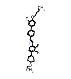 C=CCCOc1ccc(-c2ccc(/C=C/c3ccc(C4=CCC(OCC)CC4)c(F)c3F)cc2)cc1F